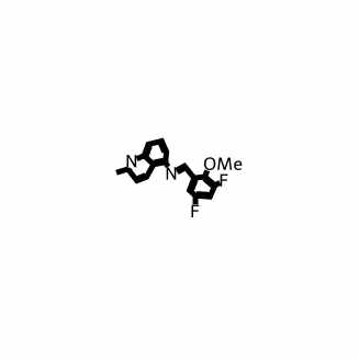 COc1c(F)cc(F)cc1C=Nc1cccc2nc(C)ccc12